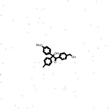 COc1ccc(C(O)(C(=O)c2ccc(CO)cc2)c2ccc(C)cc2)cc1